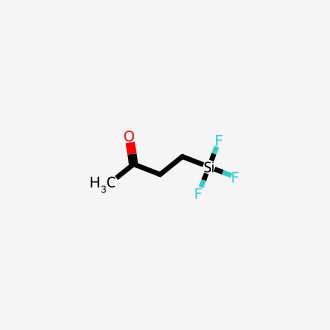 CC(=O)CC[Si](F)(F)F